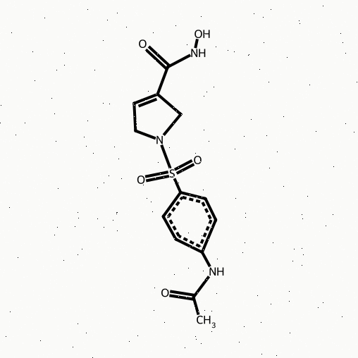 CC(=O)Nc1ccc(S(=O)(=O)N2CC=C(C(=O)NO)C2)cc1